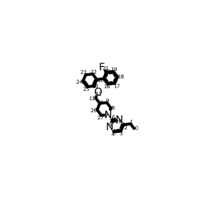 CCc1ccnc(N2CCC(COC3=C(c4ccccc4F)CCC=C3)CC2)n1